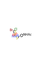 CC(=O)Nc1ccc(-c2csc(NS(=O)(=O)c3cc(Br)c(Cl)s3)n2)cc1